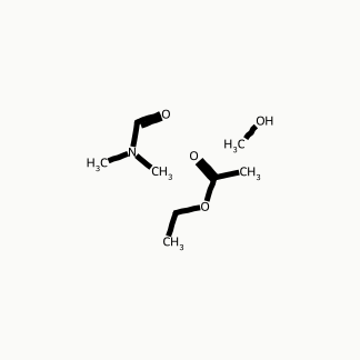 CCOC(C)=O.CN(C)C=O.CO